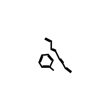 C=CC=CC=CC=C.Cc1ccccc1